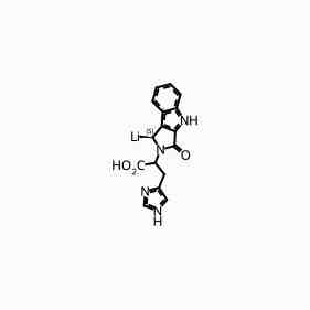 [Li][C@H]1c2c([nH]c3ccccc23)C(=O)N1C(Cc1c[nH]cn1)C(=O)O